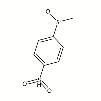 C[S+]([O-])c1ccc([SH](=O)=O)cc1